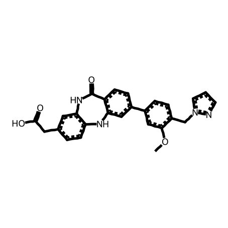 COc1cc(-c2ccc3c(c2)Nc2ccc(CC(=O)O)cc2NC3=O)ccc1Cn1cccn1